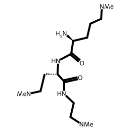 CNCCC[C@H](N)C(=O)N[C@@H](CCNC)C(=O)NCCNC